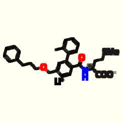 CSCC[C@H](NC(=O)c1ccc(COCCCc2ccccc2)cc1-c1ccccc1C)C(=O)[O-].[Li+]